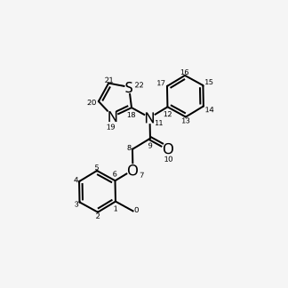 Cc1ccccc1OCC(=O)N(c1ccccc1)c1nccs1